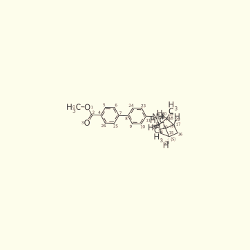 COC(=O)c1ccc(-c2ccc(N[C@H]3C[C@@H]4C[C@@H]([C@H]3C)C4(C)C)cc2)cc1